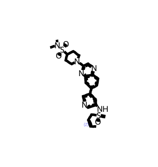 C=S(=O)(C/C=C\C)Nc1cncc(-c2ccc3ncc(N4CCC(S(=O)(=O)N(C)C)CC4)nc3c2)c1